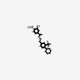 CCc1cc(/C(C)=N/OCc2ccc(C3CCCCC3)c(C(C)(F)F)c2)ccc1C=O